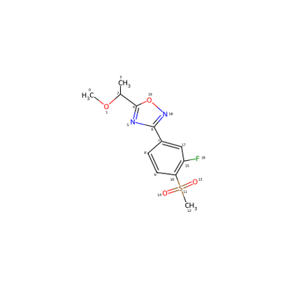 COC(C)c1nc(-c2ccc(S(C)(=O)=O)c(F)c2)no1